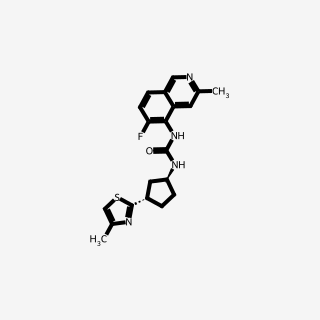 Cc1cc2c(NC(=O)N[C@H]3CC[C@H](c4nc(C)cs4)C3)c(F)ccc2cn1